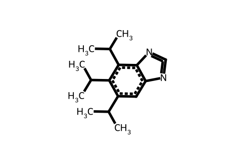 CC(C)c1cc2c(c(C(C)C)c1C(C)C)N=C=N2